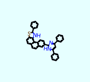 C1=C(c2ccccc2)NC(c2ccc3c(ccc4ccc5c(c43)NC(c3ccccc3)S5)c2)N=C1c1ccccc1